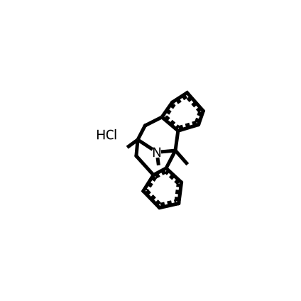 CN1C2(C)Cc3ccccc3C1(C)c1ccccc1C2.Cl